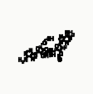 Nc1ncnc2c1ncn2[C@@H]1O[C@H](COCS)[C@@H](O[P@](=O)(S)OC[C@H]2O[C@@H](n3cnc4c(N)ncnc43)[C@H](F)[C@@H]2OP=O)[C@H]1O